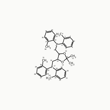 Cc1ccccc1P(CC1OC(C)(C)OC1CP(c1ccccc1C)c1ccccc1C)c1ccccc1C